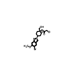 COc1cc2nn(C3CCC(CO)(NC(=O)CCl)CC3)cc2cc1Br